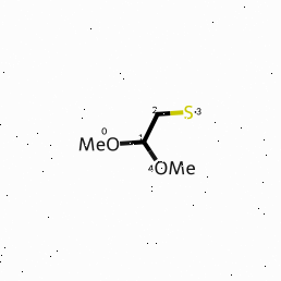 COC(C[S])OC